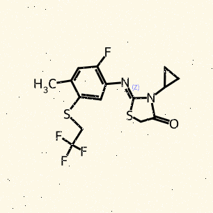 Cc1cc(F)c(/N=C2\SCC(=O)N2C2CC2)cc1SCC(F)(F)F